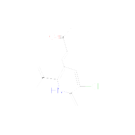 C=C(C)C1=C(/C=C/C(C)=O)C=C(Cl)C(=C)N1